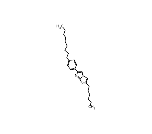 CCCCCCCCCc1ccc(-c2cn3cc(CCCCCC)sc3n2)cc1